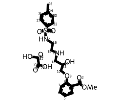 COC(=O)c1ccccc1OCC(O)CNCCNS(=O)(=O)c1ccc(C)cc1.O=C(O)C(=O)O